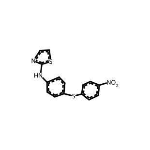 O=[N+]([O-])c1ccc(Sc2ccc(Nc3nccs3)cc2)cc1